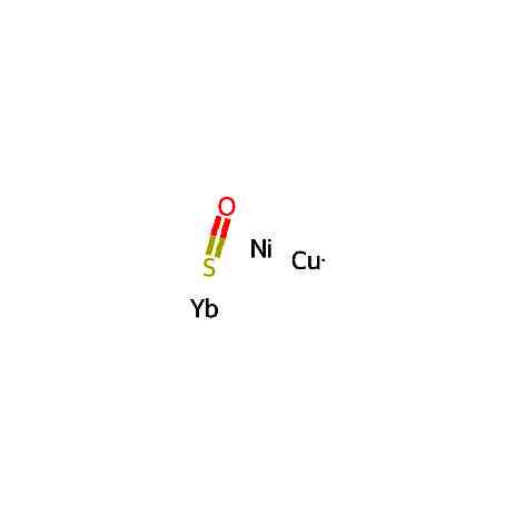 O=S.[Cu].[Ni].[Yb]